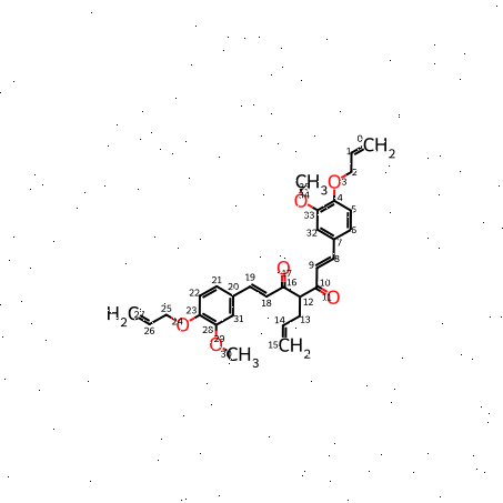 C=CCOc1ccc(C=CC(=O)C(CC=C)C(=O)C=Cc2ccc(OCC=C)c(OC)c2)cc1OC